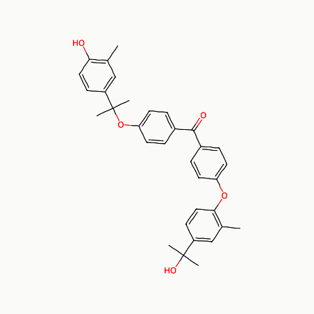 Cc1cc(C(C)(C)Oc2ccc(C(=O)c3ccc(Oc4ccc(C(C)(C)O)cc4C)cc3)cc2)ccc1O